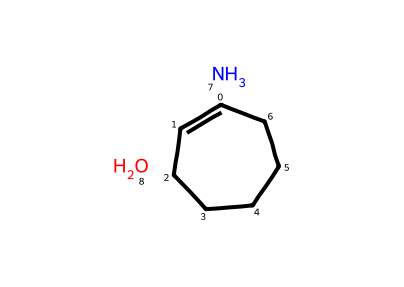 C1=CCCCCC1.N.O